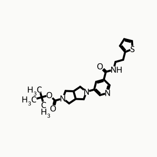 CC(C)(C)OC(=O)N1CC2CN(c3cncc(C(=O)NCCc4cccs4)c3)CC2C1